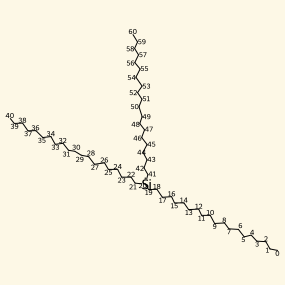 CCCCCCCCCCCCCCCCCCCC[Si](CCCCCCCCCCCCCCCCCCCC)CCCCCCCCCCCCCCCCCCCC